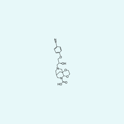 N#Cc1ccc(OC[C@@H](O)CN2CC3CN(C(=O)O)C4OCCOC4(C3)C2)cc1